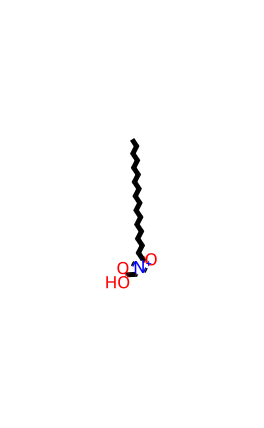 CCCCCCCCCCCCCCCCCC(=O)[N+](C)(C)CC(=O)O